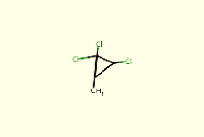 CC1C(Cl)C1(Cl)Cl